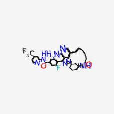 Nc1ncc2c3c1c(-c1ccc(C(=O)Nc4cc(C(F)(F)F)ccn4)cc1F)nn3[C@@H]1CCC[C@H](C1)NC(=O)CCC/C=C/2